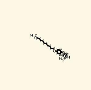 CCCCCCCCCCCOc1ccc(OS(=O)(=O)NC)cc1